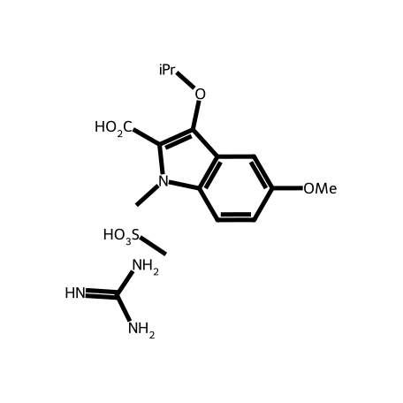 COc1ccc2c(c1)c(OC(C)C)c(C(=O)O)n2C.CS(=O)(=O)O.N=C(N)N